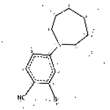 N#Cc1ccc(N2CCCCCC2)cc1Br